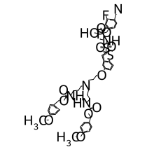 COc1ccc(COC(=O)NCCCN(CCCNC(=O)OCc2ccc(OC)cc2)CCCOc2ccc3sc(S(=O)(=O)NCP(=O)(O)Oc4ccc(C#N)c(F)c4)cc3c2)cc1